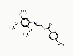 COc1cc(OC)c(OC)cc1/C=C/COC(=O)c1ccc(C)cc1